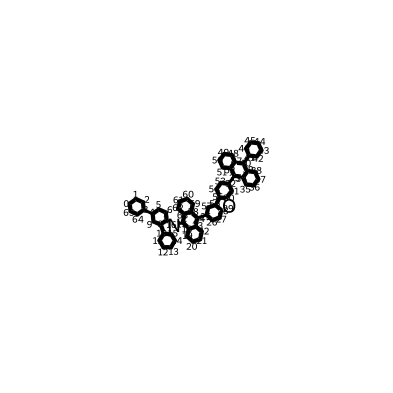 c1ccc(-c2ccc3c(c2)c2ccccc2n3-c2c3ccccc3c(-c3ccc4oc5cc(-c6c7ccccc7c(-c7ccccc7)c7ccccc67)ccc5c4c3)c3ccccc23)cc1